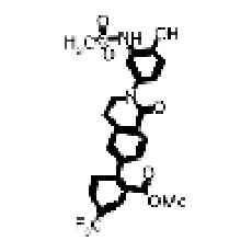 COC(=O)c1cc(C(F)(F)F)ccc1-c1ccc2c(c1)CCN(c1ccc(O)c(NS(C)(=O)=O)c1)C2=O